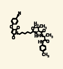 Cc1ccc(NC(=O)[C@@H](C)NC(=O)[C@H](NC(=O)CCCCCN2C(=O)C=C(Oc3ccc(C#N)cc3)C2=O)C(C)C)cc1